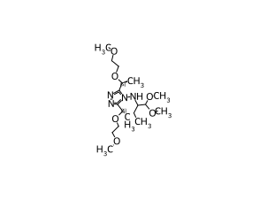 CCC(Nn1c([C@H](C)OCCOC)nnc1[C@H](C)OCCOC)C(OC)OC